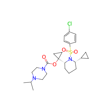 CC(C)N1CCN(C(=O)OC2([C@H]3CCC[C@@H](C4CC4)N3S(=O)(=O)c3ccc(Cl)cc3)CC2)CC1